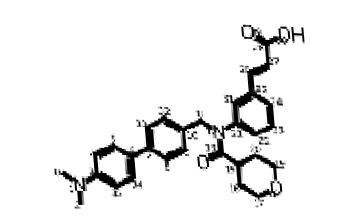 CN(C)c1ccc(-c2ccc(CN(C(=O)C3CCOCC3)c3cccc(C=CC(=O)O)c3)cc2)cc1